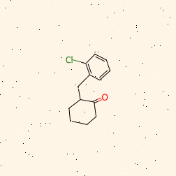 O=C1CCCCC1Cc1ccc[c]c1Cl